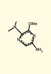 COc1nc(N)cnc1N(C)C